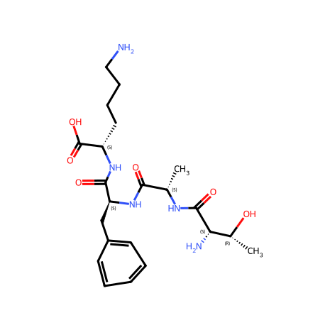 C[C@H](NC(=O)[C@@H](N)[C@@H](C)O)C(=O)N[C@@H](Cc1ccccc1)C(=O)N[C@@H](CCCCN)C(=O)O